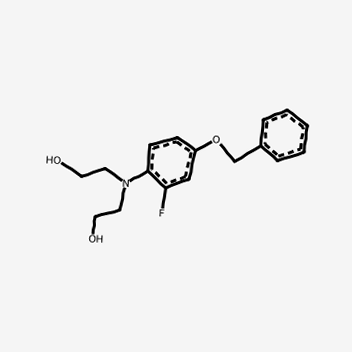 OCCN(CCO)c1ccc(OCc2ccccc2)cc1F